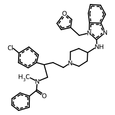 CN(CC(CCN1CCC(Nc2nc3ccccc3n2Cc2ccoc2)CC1)c1ccc(Cl)cc1)C(=O)c1ccccc1